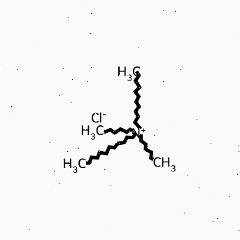 CCCCCCCCCCCC[N+](CCCCCCC)(CCCCCCC)CCCCCCCCCCCC.[Cl-]